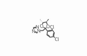 C[C@H]1OC(Cn2cncn2)(c2ccc(Cl)cc2Cl)O[C@@H]1C